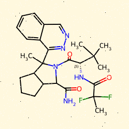 CC(F)(F)C(=O)N[C@H](C(=O)N1C(C(N)=O)C2CCCC2C1(C)c1nncc2ccccc12)C(C)(C)C